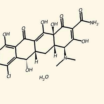 CN(C)[C@@H]1C(O)=C(C(N)=O)C(=O)[C@@]2(O)C(O)=C3C(=O)c4c(O)ccc(Cl)c4[C@@H](O)[C@H]3C[C@@H]12.O